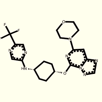 FC(F)(F)c1cnc(N[C@H]2CC[C@@H](Oc3nc(N4CCOCC4)cc4ncnn34)CC2)cn1